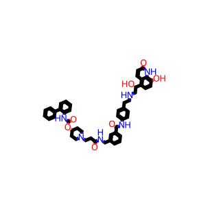 O=C(CCN1CCC(OC(=O)Nc2ccccc2-c2ccccc2)CC1)NCc1cccc(C(=O)Nc2ccc(CCNC[C@@H](O)c3ccc(O)c4[nH]c(=O)ccc34)cc2)c1